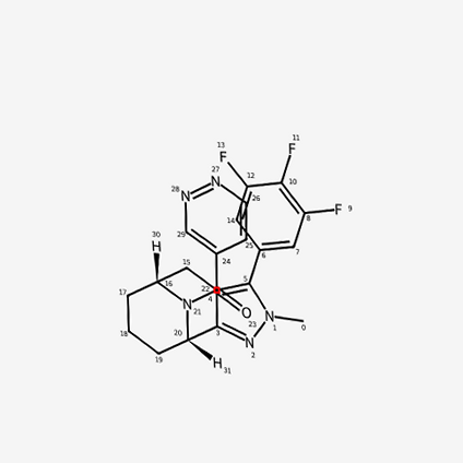 Cn1nc2c(c1-c1cc(F)c(F)c(F)c1)C[C@H]1CCC[C@@H]2N1C(=O)c1ccnnc1